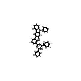 C1=CCCC(n2c3ccccc3c3cc4c(cc32)sc2c(C3N=C(C5=CCCC=C5)N=C(c5ccccc5)N3)cccc24)=C1